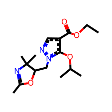 CCOC(=O)c1cnn(CC2OC(C)=NC2(C)C)c1OC(C)C